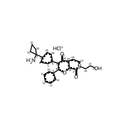 Cl.NC1(c2ccc(-c3c(-c4ccccc4)oc4c(=O)n(CCO)ccc4c3=O)cc2)CCC1